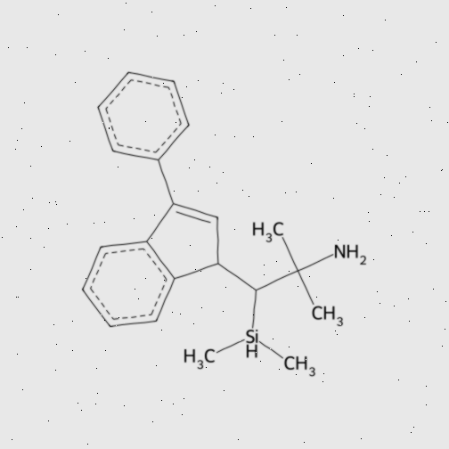 C[SiH](C)C(C1C=C(c2ccccc2)c2ccccc21)C(C)(C)N